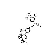 C=CC1(NC(=O)c2ccc(/C=C/C(c3cc(Cl)c(Cl)c(Cl)c3)C(F)(F)F)cc2Br)CC1